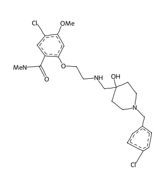 CNC(=O)c1cc(Cl)c(OC)cc1OCCNCC1(O)CCN(Cc2ccc(Cl)cc2)CC1